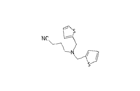 N#CCCCN(Cc1cccs1)Cc1cccs1